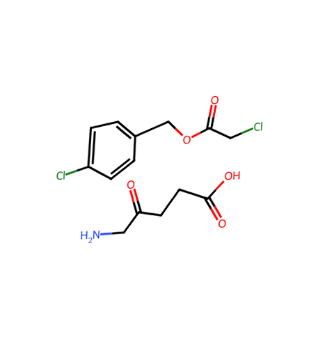 NCC(=O)CCC(=O)O.O=C(CCl)OCc1ccc(Cl)cc1